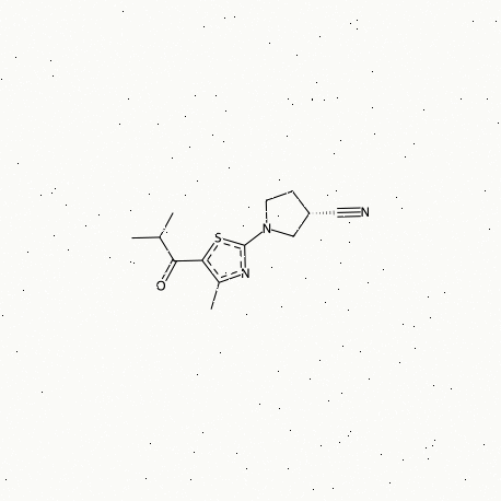 Cc1nc(N2CC[C@H](C#N)C2)sc1C(=O)C(C)C